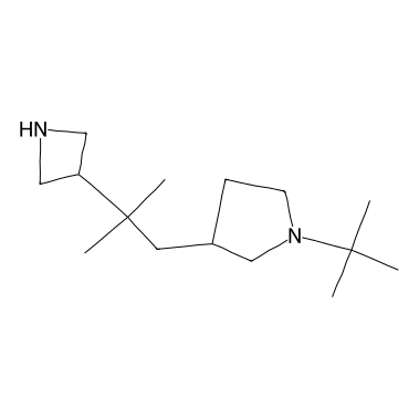 CC(C)(CC1CCN(C(C)(C)C)C1)C1CNC1